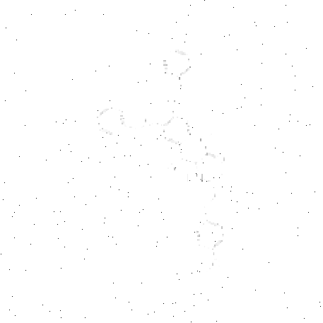 COC(=O)[C@@H](NC(C)CCc1ccc(OC)cc1)C(O)c1ccc(OCc2ccccc2)c(OCc2ccccc2)c1